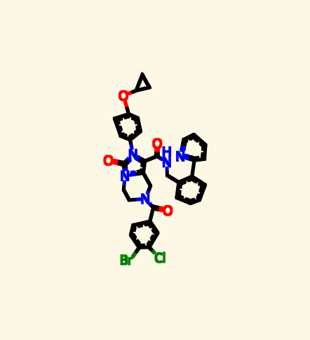 O=C(NCc1ccccc1-c1ccccn1)c1c2n(c(=O)n1-c1ccc(OC3CC3)cc1)CCN(C(=O)c1ccc(Br)c(Cl)c1)C2